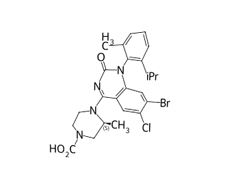 Cc1cccc(C(C)C)c1-n1c(=O)nc(N2CCN(C(=O)O)C[C@@H]2C)c2cc(Cl)c(Br)cc21